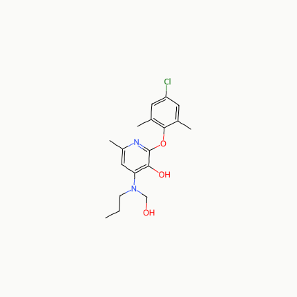 CCCN(CO)c1cc(C)nc(Oc2c(C)cc(Cl)cc2C)c1O